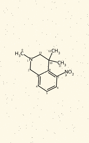 CN1Cc2cccc([N+](=O)[O-])c2C(C)(C)C1